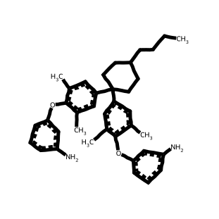 CCCCC1CCC(c2cc(C)c(Oc3cccc(N)c3)c(C)c2)(c2cc(C)c(Oc3cccc(N)c3)c(C)c2)CC1